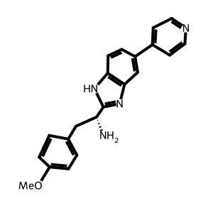 COc1ccc(C[C@@H](N)c2nc3cc(-c4ccncc4)ccc3[nH]2)cc1